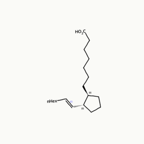 CCCCCC/C=C/[C@H]1CCC[C@@H]1CCCCCCC(=O)O